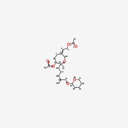 CC(=O)OCC=C1CCC(OC(C)=O)C(C)(CCCC(C)COC2CCCCO2)OC1